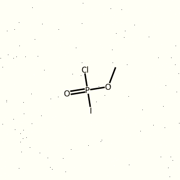 COP(=O)(Cl)I